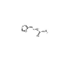 NC(=O)OCCc1ccco1